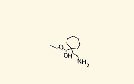 CCOC(O)C1(CCN)CCCCCC1